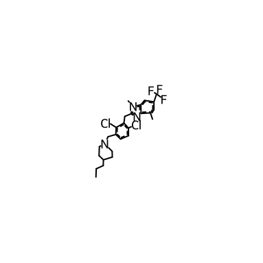 CCCC1CCN(Cc2ccc(Cl)c(Cc3nc4c(C)cc(C(F)(F)F)cc4n3C)c2Cl)CC1